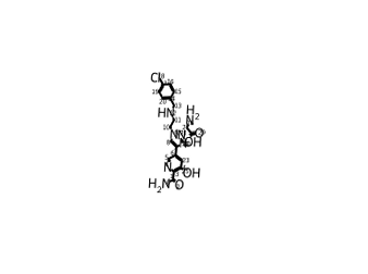 NC(=O)c1ncc(-c2cn(CCNCc3ccc(Cl)cc3)nn2)cc1O.NCC(=O)O